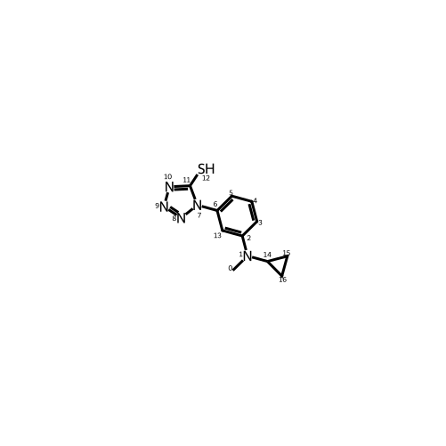 CN(c1cccc(-n2nnnc2S)c1)C1CC1